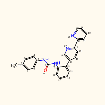 O=C(Nc1ccc(C(F)(F)F)cc1)Nc1ccccc1-c1ccc(-c2ccccn2)nc1